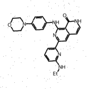 CCNc1cccc(-c2cc3cc[nH]c(=O)c3c(Nc3ccc(N4CCOCC4)cc3)n2)n1